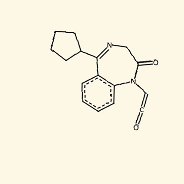 O=C=CN1C(=O)CN=C(C2CCCC2)c2ccccc21